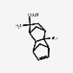 CCCCC12C3C=CC(C3)C1C1CC2CC1(C)C(=O)O